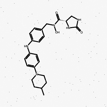 CC1CCN(c2ccc(Nc3ccc(CN(O)C(=O)[C@@H]4CNC(=O)N4)cc3)cc2)CC1